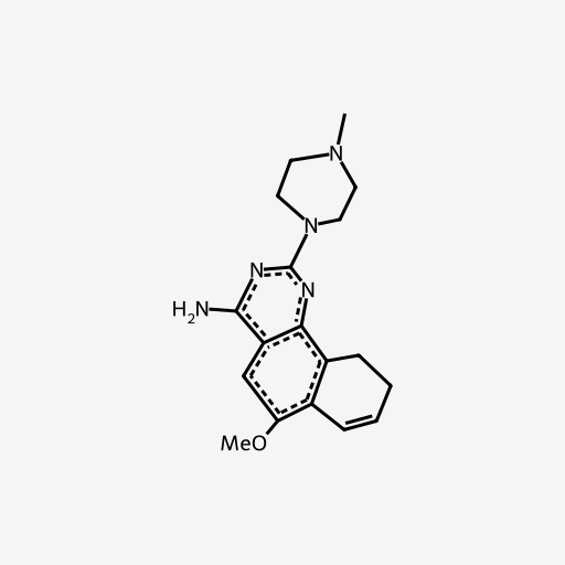 COc1cc2c(N)nc(N3CCN(C)CC3)nc2c2c1C=CCC2